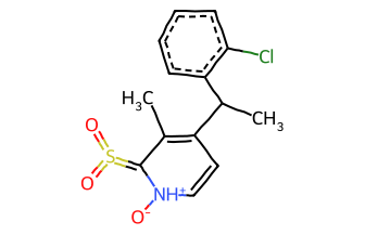 CC1=C(C(C)c2ccccc2Cl)C=C[NH+]([O-])C1=S(=O)=O